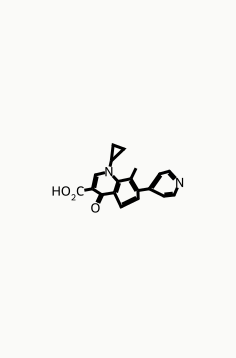 Cc1c(-c2ccncc2)ccc2c(=O)c(C(=O)O)cn(C3CC3)c12